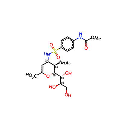 COC(=O)Nc1ccc(S(=O)(=O)N[C@H]2C=C(C(=O)O)O[C@@H]([C@H](O)[C@H](O)CO)[C@@H]2NC(C)=O)cc1